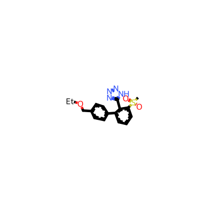 CCOCc1ccc(-c2cccc(S(C)(=O)=O)c2-c2nnn[nH]2)cc1